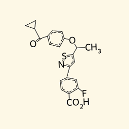 CC(Oc1ccc(C(=O)C2CC2)cc1)c1cc(-c2ccc(C(=O)O)c(F)c2)ns1